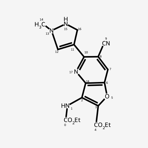 CCOC(=O)Nc1c(C(=O)OCC)oc2cc(C#N)c(C3=CN(C)NC3)nc12